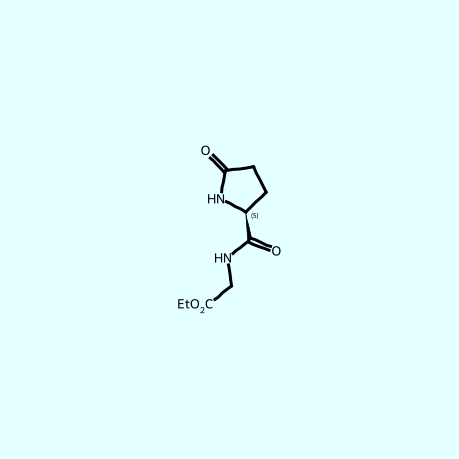 CCOC(=O)CNC(=O)[C@@H]1CCC(=O)N1